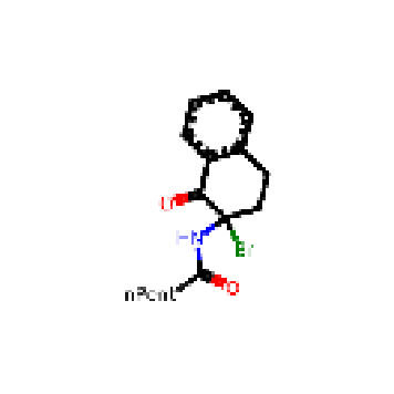 CCCCCC(=O)NC1(Br)CCc2ccccc2C1=O